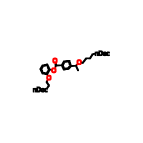 CCCCCCCCCCCCCCOC(C)c1ccc(C(=O)Oc2ccccc2OCCCCCCCCCCCC)cc1